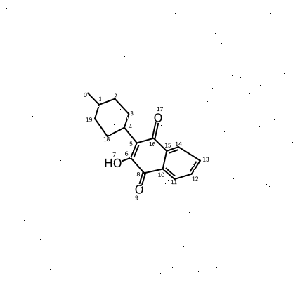 CC1CCC(C2=C(O)C(=O)c3ccccc3C2=O)CC1